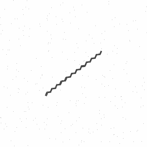 C=CCCCCC=CC=CCCCCCC=CCCCCCCC